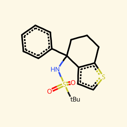 CC(C)(C)S(=O)(=O)NC1(c2ccccc2)CCCc2sccc21